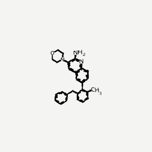 Cc1cccc(Cc2ccccc2)c1-c1ccc2nc(N)c(N3CCOCC3)cc2c1